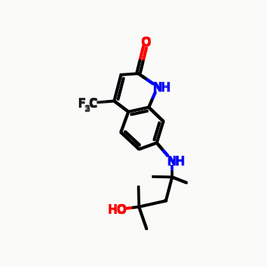 CC(C)(O)CC(C)(C)Nc1ccc2c(C(F)(F)F)cc(=O)[nH]c2c1